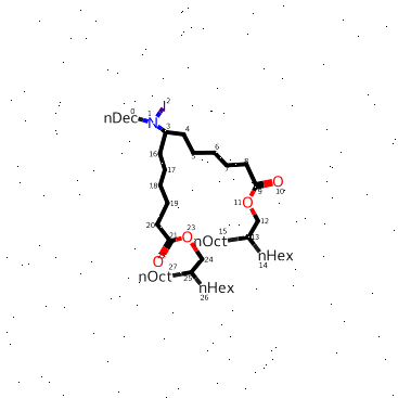 CCCCCCCCCCN(I)C(CCCCCC(=O)OCC(CCCCCC)CCCCCCCC)CCCCCC(=O)OCC(CCCCCC)CCCCCCCC